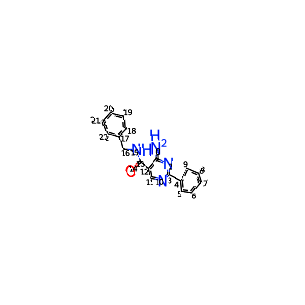 Nc1nc(-c2ccccc2)ncc1C(=O)NCc1ccccc1